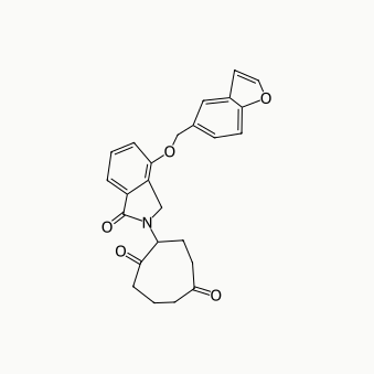 O=C1CCCC(=O)C(N2Cc3c(OCc4ccc5occc5c4)cccc3C2=O)CC1